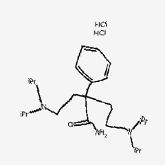 CC(C)N(CCC(CCN(C(C)C)C(C)C)(C(N)=O)c1ccccc1)C(C)C.Cl.Cl